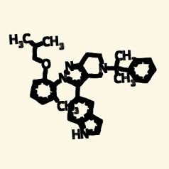 Cc1cccc(OCC(C)C)c1-n1nc2c(c1-c1ccc3[nH]ccc3c1)CN(C(C)(C)c1ccccc1)CC2